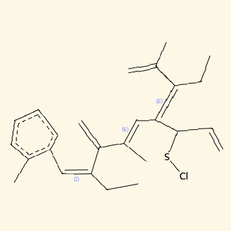 C=CC(SCl)C(/C=C(\C)C(=C)/C(=C\c1ccccc1C)CC)=C(\CC)C(=C)C